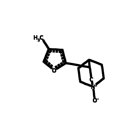 Cc1coc(C2C[N+]3([O-])CCC2CC3)c1